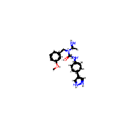 COc1cccc(CN(C(C)=N)C(=O)Nc2ccc(-c3cn[nH]c3)cc2)c1